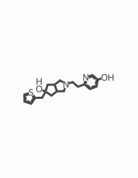 Oc1ccc(CCN2CC3CC(O)(Cc4cccs4)CC3C2)nc1